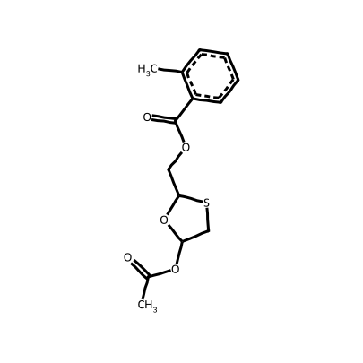 CC(=O)OC1CSC(COC(=O)c2ccccc2C)O1